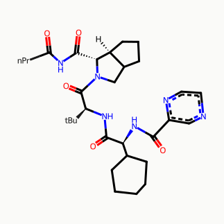 CCCC(=O)NC(=O)[C@@H]1[C@H]2CCCC2CN1C(=O)[C@@H](NC(=O)[C@@H](NC(=O)c1cnccn1)C1CCCCC1)C(C)(C)C